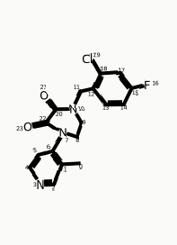 Cc1cnccc1N1CCN(Cc2ccc(F)cc2Cl)C(=O)C1=O